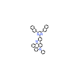 c1ccc(-c2nc3cc(-c4nc(-c5ccc6ccccc6c5)cc(-c5ccc6ccccc6c5)n4)ccc3c3ccc4c(c5ccccc5n4-c4ccccc4)c23)cc1